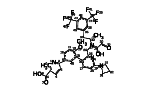 C/N=C(\C=C/CC(=O)O)c1ccc(OC)c(-c2ccc(N3CCC3)nc2CN(C(O)C=O)[C@@H](C)Cc2cc(C(F)(F)F)cc(C(F)(F)F)c2)c1